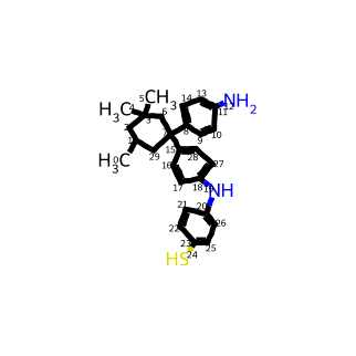 CC1CC(C)(C)CC(c2ccc(N)cc2)(c2ccc(Nc3ccc(S)cc3)cc2)C1